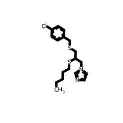 CCCCCSC(CSCc1ccc(Cl)cc1)Cn1ccnc1